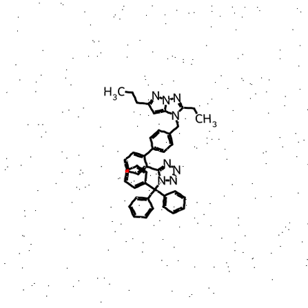 CCCc1cc2n(Cc3ccc(-c4ccccc4-c4nnnn4C(c4ccccc4)(c4ccccc4)c4ccccc4)cc3)c(CC)nn2n1